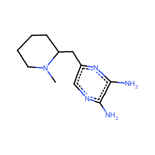 CN1CCCCC1Cc1cnc(N)c(N)n1